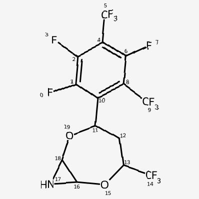 Fc1c(F)c(C(F)(F)F)c(F)c(C(F)(F)F)c1C1CC(C(F)(F)F)OC2NC2O1